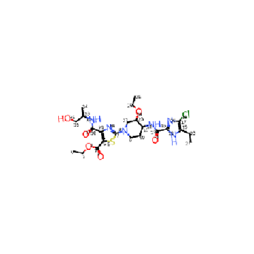 CCOC(=O)c1sc(N2CCC(NC(=O)c3nc(Cl)c(CC)[nH]3)C(OCC)C2)nc1C(=O)NC(C)CO